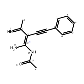 CC(=N)/C(C#Cc1ccccc1)=C(\N)NC(C)=O